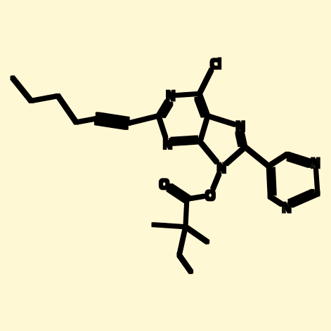 CCCCC#Cc1nc(Cl)c2nc(-c3cncnc3)n(OC(=O)C(C)(C)CC)c2n1